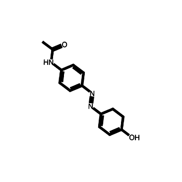 CC(=O)Nc1ccc(N=NC2=CC=C(O)CC2)cc1